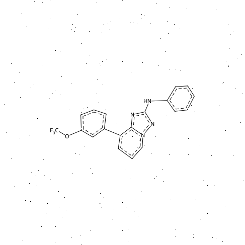 FC(F)(F)Oc1cccc(-c2cccn3nc(Nc4ccccc4)nc23)c1